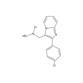 CCCCN(CC)Cc1c(-c2ccc(Cl)cc2)nc2ccccn12